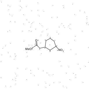 COC(=O)CC1CCCC([N+](=O)[O-])C1